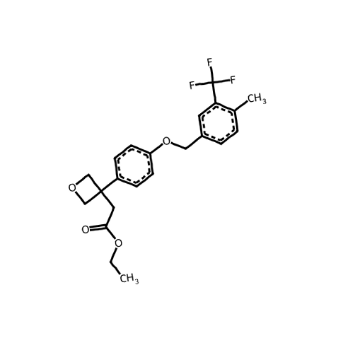 CCOC(=O)CC1(c2ccc(OCc3ccc(C)c(C(F)(F)F)c3)cc2)COC1